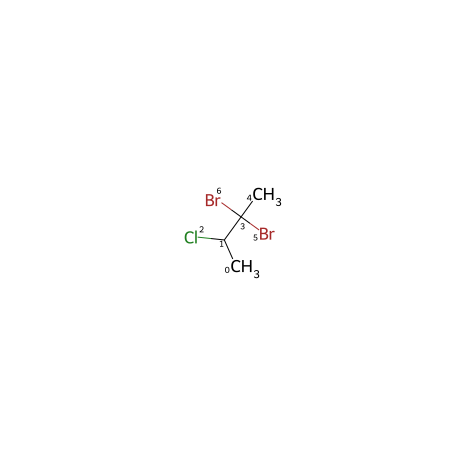 CC(Cl)C(C)(Br)Br